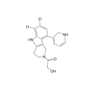 O=C(CO)N1CCc2[nH]c3c(Cl)c(Cl)cc(C4=CC=CNC4)c3c2C1